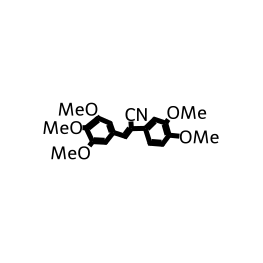 COc1ccc(/C(C#N)=C/c2cc(OC)c(OC)c(OC)c2)cc1OC